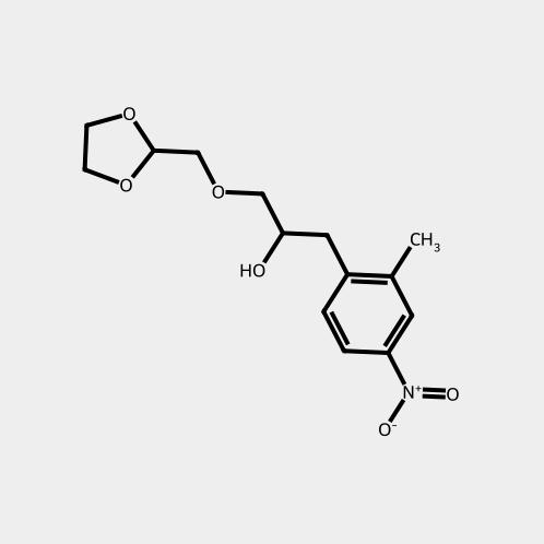 Cc1cc([N+](=O)[O-])ccc1CC(O)COCC1OCCO1